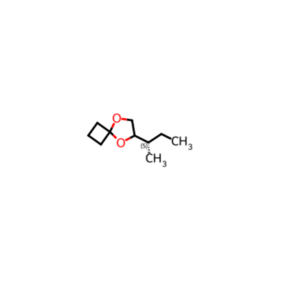 CC[C@H](C)C1COC2(CCC2)O1